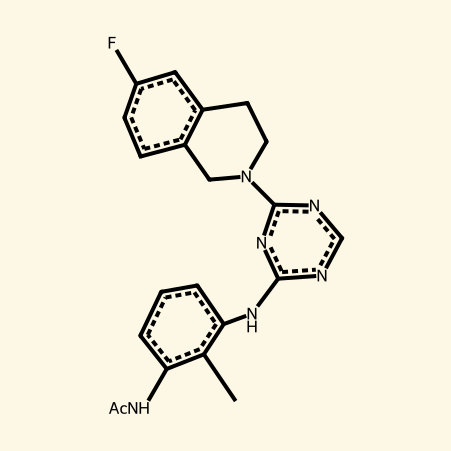 CC(=O)Nc1cccc(Nc2ncnc(N3CCc4cc(F)ccc4C3)n2)c1C